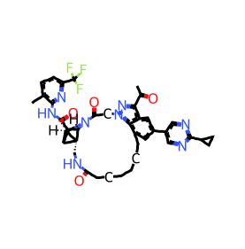 CC(=O)c1nn2c3c(cc(-c4cnc(C5CC5)nc4)cc13)CCCCCCC(=O)NC[C@@]13C4[C@@H](C(=O)Nc5nc(C(F)(F)F)ccc5C)N(C(=O)C2)[C@@H]1[C@]43C